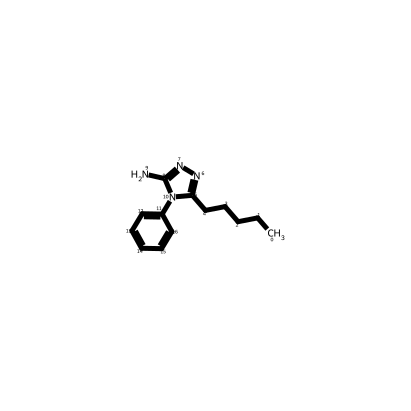 CCCCCc1nnc(N)n1-c1ccccc1